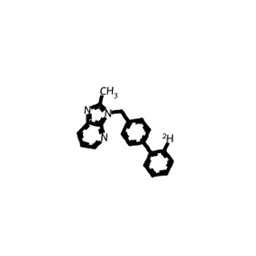 [2H]c1ccccc1-c1ccc(Cn2c(C)nc3cccnc32)cc1